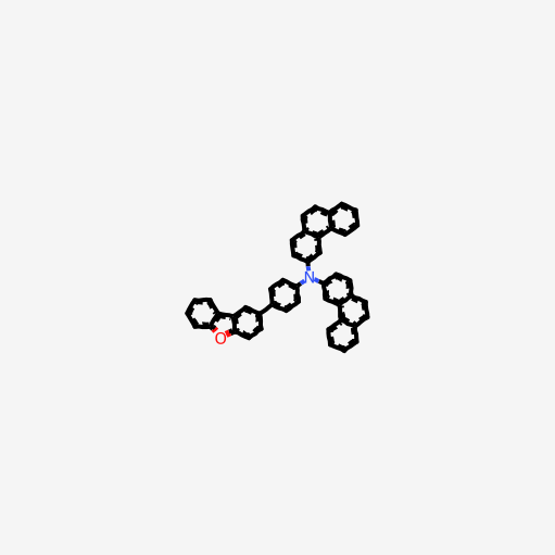 c1ccc2c(c1)ccc1ccc(N(c3ccc(-c4ccc5oc6ccccc6c5c4)cc3)c3ccc4ccc5ccccc5c4c3)cc12